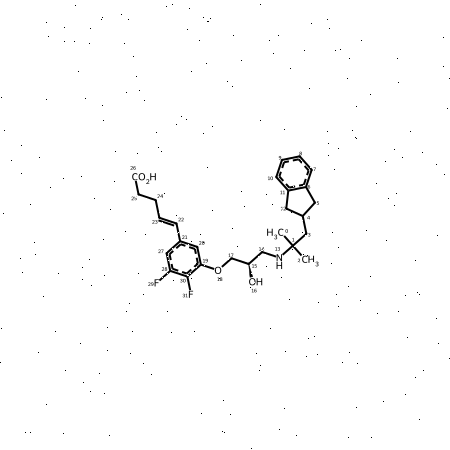 CC(C)(CC1Cc2ccccc2C1)NC[C@@H](O)COc1cc(/C=C/CCC(=O)O)cc(F)c1F